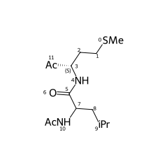 CSCC[C@H](NC(=O)C(CC(C)C)NC(C)=O)C(C)=O